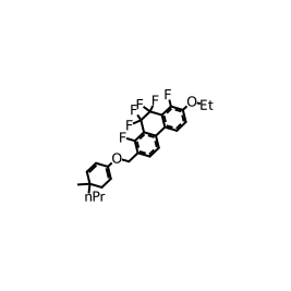 CCCC1(C)C=CC(OCc2ccc3c(c2F)C(F)(F)C(F)(F)c2c-3ccc(OCC)c2F)=CC1